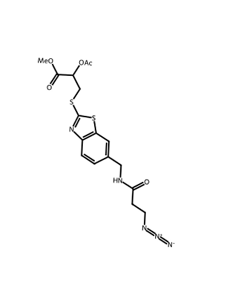 COC(=O)C(CSc1nc2ccc(CNC(=O)CCN=[N+]=[N-])cc2s1)OC(C)=O